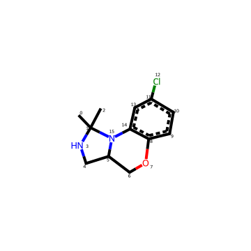 CC1(C)NCC2COc3ccc(Cl)cc3N21